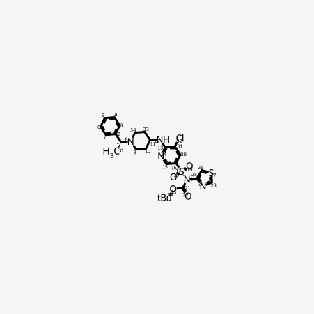 C[C@H](c1ccccc1)N1CCC(Nc2ncc(S(=O)(=O)N(C(=O)OC(C)(C)C)c3cscn3)cc2Cl)CC1